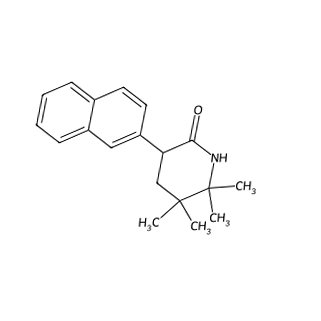 CC1(C)CC(c2ccc3ccccc3c2)C(=O)NC1(C)C